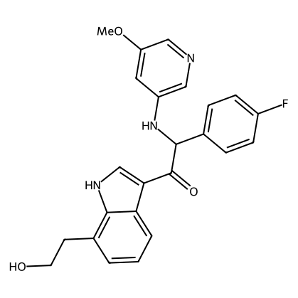 COc1cncc(NC(C(=O)c2c[nH]c3c(CCO)cccc23)c2ccc(F)cc2)c1